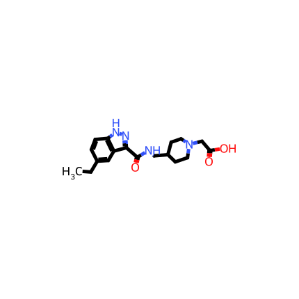 CCc1ccc2[nH]nc(C(=O)NCC3CCN(CC(=O)O)CC3)c2c1